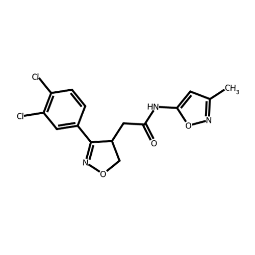 Cc1cc(NC(=O)CC2CON=C2c2ccc(Cl)c(Cl)c2)on1